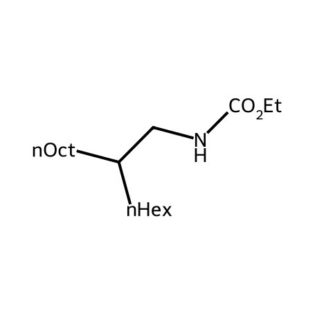 CCCCCCCCC(CCCCCC)CNC(=O)OCC